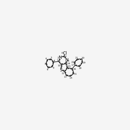 Clc1nc(-c2ccccc2)c2sc3cccc(-c4ccccc4)c3c2n1